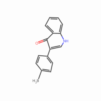 Bc1ccc(-c2c[nH]c3ccccc3c2=O)cc1